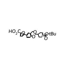 CC(C)(C)OC(=O)N1CCC(C2OCc3cc(-c4ccc(C(=O)O)o4)ccc3O2)CC1